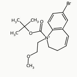 COCC[N+]1(C(=O)OC(C)(C)C)CCC=Cc2cc(Br)ccc21